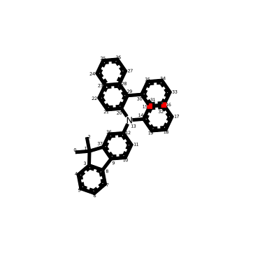 CC1(C)c2ccccc2-c2ccc(N(c3ccccc3)c3ccc4ccccc4c3-c3ccccc3)cc21